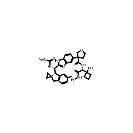 CCNC(=O)[C@H](NC(=O)C1(c2ccc3[nH]c([C@@H](NC(=O)OC)[C@@H]4c5cc(F)ccc5CC45CC5)nc3c2)CCOC1)C1(C)CCC1